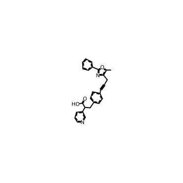 Cc1oc(-c2ccccc2)nc1CC#Cc1ccc(CC(C(=O)O)c2cccnc2)cc1